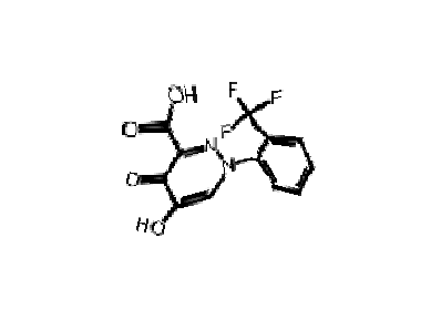 O=C(O)c1nn(-c2ccccc2C(F)(F)F)cc(O)c1=O